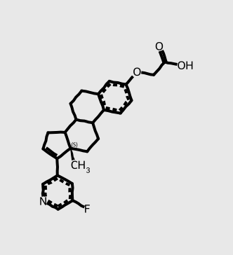 C[C@]12CCC3c4ccc(OCC(=O)O)cc4CCC3C1CC=C2c1cncc(F)c1